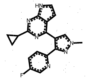 Cn1cc(-c2nc(C3CC3)nc3[nH]ccc23)c(-c2ccc(F)cn2)n1